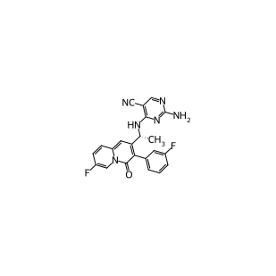 C[C@@H](Nc1nc(N)ncc1C#N)c1cc2ccc(F)cn2c(=O)c1-c1cccc(F)c1